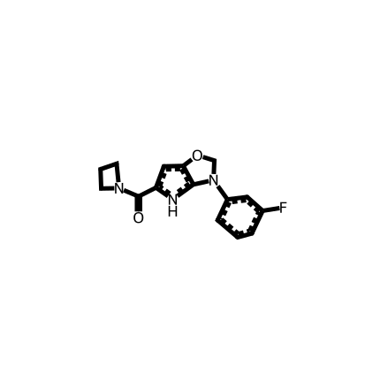 O=C(c1cc2c([nH]1)N(c1cccc(F)c1)CO2)N1CCC1